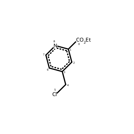 CCOC(=O)c1cc(CCl)ccn1